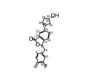 O=C1OC(Cc2ccc(F)c(F)c2)c2ccc(N3CC[C@H](O)C3)cc21